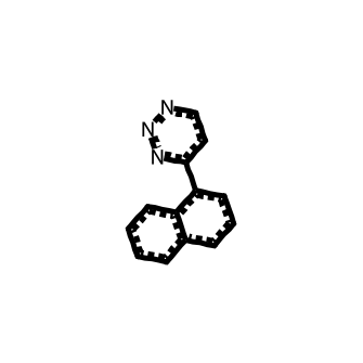 c1ccc2c(-c3ccnnn3)cccc2c1